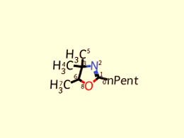 CCCCCC1=NC(C)(C)C(C)O1